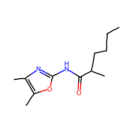 CCCCC(C)C(=O)Nc1nc(C)c(C)o1